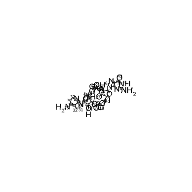 Nc1nc2c(ncn2[C@@H]2O[C@@H]3COP(=O)(O)OC4[C@@H](COP(=O)(O)O[C@H]2C3O)O[C@@H](n2ccc3c(N)ccnc32)[C@H]4O)c(=O)[nH]1